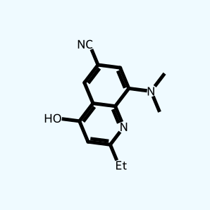 CCc1cc(O)c2cc(C#N)cc(N(C)C)c2n1